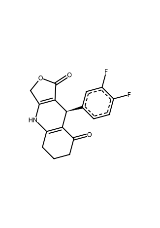 O=C1CCCC2=C1[C@H](c1ccc(F)c(F)c1)C1=C(COC1=O)N2